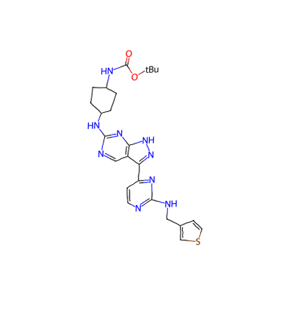 CC(C)(C)OC(=O)NC1CCC(Nc2ncc3c(-c4ccnc(NCc5ccsc5)n4)n[nH]c3n2)CC1